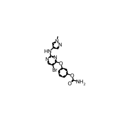 Cn1cc(Nc2ncc(Br)c(Oc3cccc(OC(N)=O)c3)n2)cn1